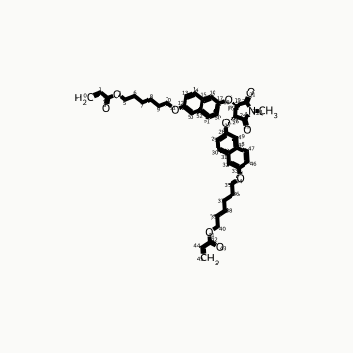 C=CC(=O)OCCCCCCOc1ccc2cc(O[C@H]3C(=O)N(C)C(=O)[C@@H]3Oc3ccc4cc(OCCCCCCOC(=O)C=C)ccc4c3)ccc2c1